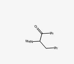 CNC(CC(C)C)C(=O)C(C)C